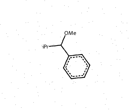 COC([C](C)C)c1ccccc1